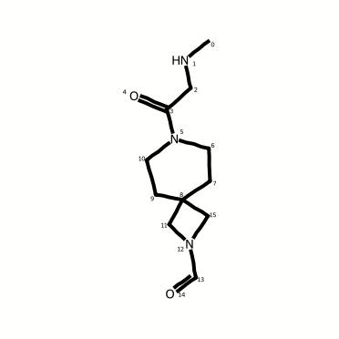 CNCC(=O)N1CCC2(CC1)CN(C=O)C2